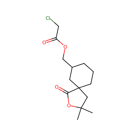 CC1(C)CC2(CCCC(COC(=O)CCl)C2)C(=O)O1